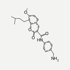 COc1ccc2cc(C(=O)Nc3ccc(CN)cc3)c(=O)oc2c1CCC(C)C